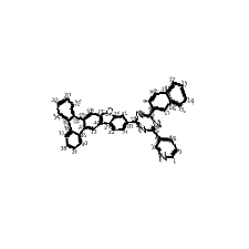 c1cncc(-c2nc(-c3ccc4ccccc4c3)nc(-c3ccc4c(c3)oc3cc5c6ccccc6c6ccccc6c5cc34)n2)c1